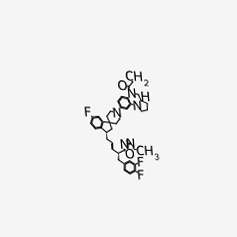 C=CC(=O)N1C[C@@H]2CCCN2c2cc(N3CCC4(CC3)C[C@@H](C/C=C/[C@H](Cc3ccc(F)c(F)c3)c3nnc(C)o3)c3ccc(F)cc34)ccc21